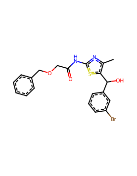 Cc1nc(NC(=O)COCc2ccccc2)sc1C(O)c1cccc(Br)c1